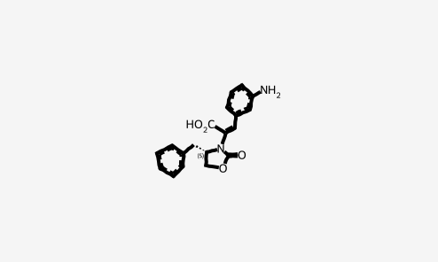 Nc1cccc(C=C(C(=O)O)N2C(=O)OC[C@@H]2Cc2ccccc2)c1